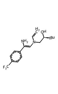 C=CN(/C=C(\N)c1ccc(C(F)(F)F)cc1)C[C@@H](O)C(C)(C)C